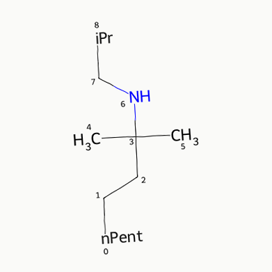 CCCCCCCC(C)(C)NCC(C)C